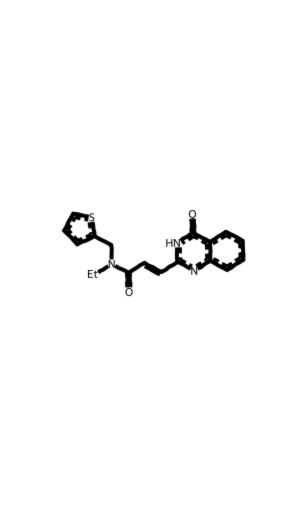 CCN(Cc1cccs1)C(=O)C=Cc1nc2ccccc2c(=O)[nH]1